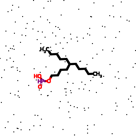 CCCCCC(CCCCC)CCCCO[PH](=O)O